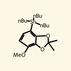 CCC[CH2][Sn]([CH2]CCC)([CH2]CCC)[c]1ccc(OC)c2c1OC(C)(C)O2